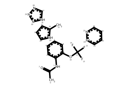 CC(=O)Nc1ccccc1OC(F)(F)F.Cc1ccc[nH]1.c1ccnnc1.c1nnn[nH]1